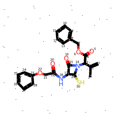 C=C(C)C(C(=O)OCc1ccccc1)N1C(=O)C(NC(=O)COc2ccccc2)C1S